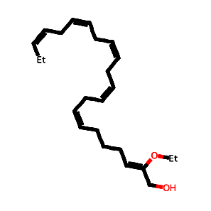 CC/C=C\C/C=C\C/C=C\C/C=C\C/C=C\CCC/C=C(/CO)OCC